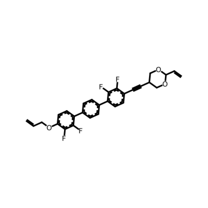 C=CCOc1ccc(-c2ccc(-c3ccc(C#CC4COC(C=C)OC4)c(F)c3F)cc2)c(F)c1F